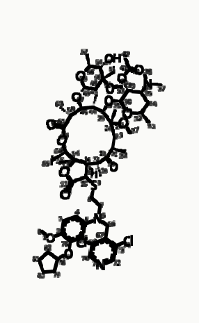 COc1ccc(N(CCSC2C(=O)O[C@@]3(C)[C@H]2[C@@H](C)C(=O)[C@H](C)C[C@@](C)(OC)[C@H](O[C@@H]2O[C@H](C)C[C@H](N(C)C)[C@H]2OC(C)=O)[C@@H](C)[C@H](O[C@H]2C[C@@](C)(OC)[C@@H](O)[C@H](C)O2)[C@@H](C)C(=O)O[C@@H]3I)Cc2c(Cl)cncc2Cl)cc1OC1CCCC1